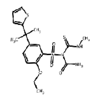 CCOc1ccc(C(C)(C)c2cccs2)cc1S(=O)(=O)N(C(N)=O)C(=S)NC